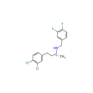 C[C@H](CCc1ccc(Cl)c(Cl)c1)NCc1ccc(F)c(F)c1